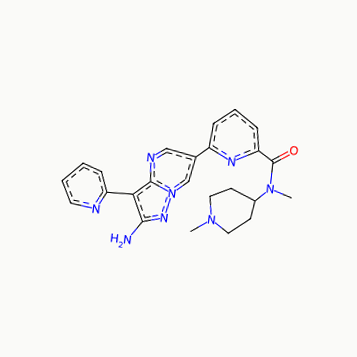 CN1CCC(N(C)C(=O)c2cccc(-c3cnc4c(-c5ccccn5)c(N)nn4c3)n2)CC1